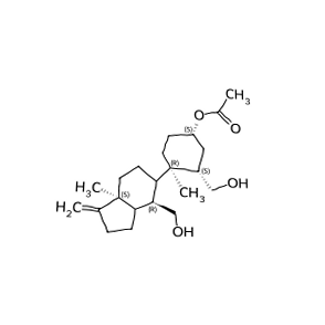 C=C1CCC2[C@H](CO)C([C@@]3(C)CC[C@H](OC(C)=O)C[C@@H]3CO)CC[C@]12C